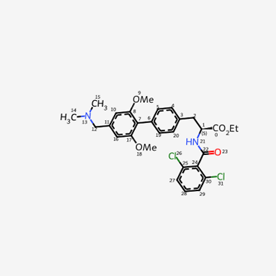 CCOC(=O)[C@H](Cc1ccc(-c2c(OC)cc(CN(C)C)cc2OC)cc1)NC(=O)c1c(Cl)cccc1Cl